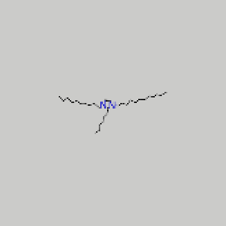 CCCCCCCCCCCCN1C=CN(CCCCCCCCCC)C1CCCCCC